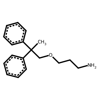 CC(COCCCN)(c1ccccc1)c1ccccc1